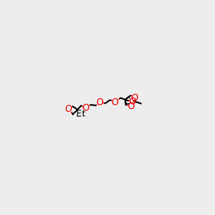 CCC1(COCCOCCOCC23COC(C)(OC2)OC3)COC1